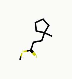 CSC(=S)CCC1(C)CCCC1